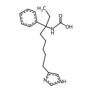 CCC(CCCCCc1c[nH]cn1)(NC(=O)O)c1ccccc1